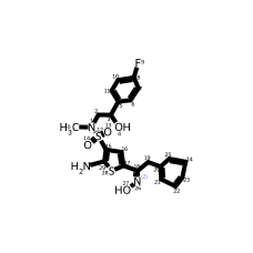 CN(CC(O)c1ccc(F)cc1)S(=O)(=O)c1cc(/C(Cc2ccccc2)=N\O)sc1N